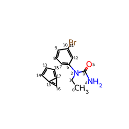 CCN(C(N)=O)c1cccc(Br)c1.c1cc2cc-2c1